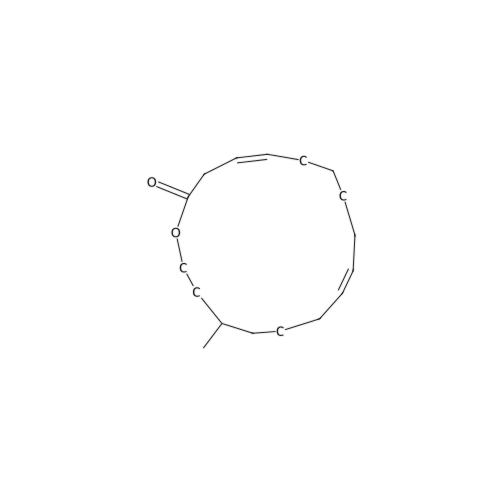 CC1CCCC=CCCCCC=CCC(=O)OCC1